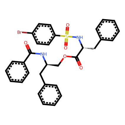 O=C(N[C@@H](COC(=O)[C@@H](Cc1ccccc1)NS(=O)(=O)c1ccc(Br)cc1)Cc1ccccc1)c1ccccc1